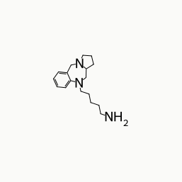 NCCCCCN1CC2CCCN2Cc2ccccc21